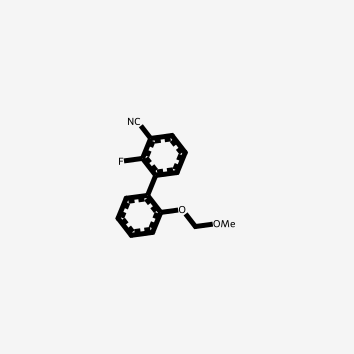 COCOc1ccccc1-c1cccc(C#N)c1F